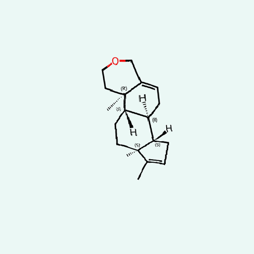 CC1=CC[C@H]2[C@@H]3CC=C4COCC[C@]4(C)[C@H]3CC[C@]12C